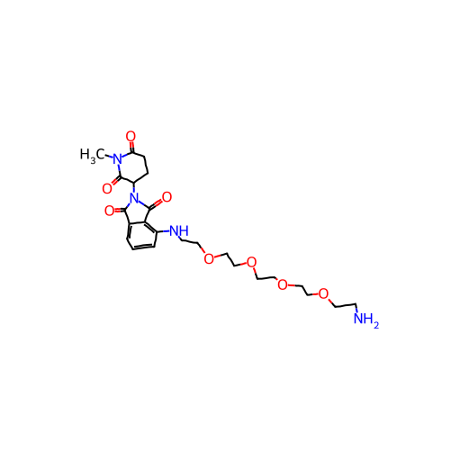 CN1C(=O)CCC(N2C(=O)c3cccc(NCCOCCOCCOCCOCCN)c3C2=O)C1=O